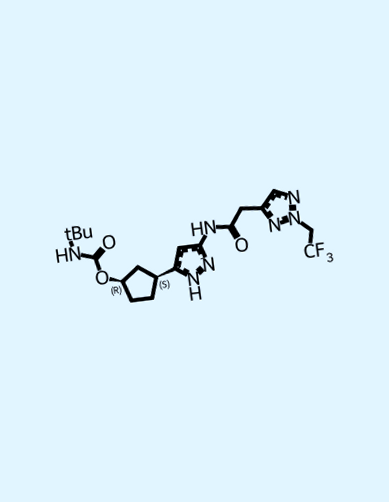 CC(C)(C)NC(=O)O[C@@H]1CC[C@H](c2cc(NC(=O)Cc3cnn(CC(F)(F)F)n3)n[nH]2)C1